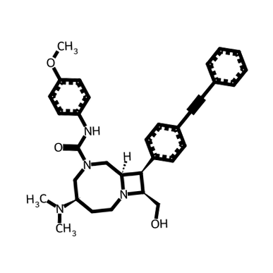 COc1ccc(NC(=O)N2C[C@H](N(C)C)CCN3[C@H](CO)[C@H](c4ccc(C#Cc5ccccc5)cc4)[C@@H]3C2)cc1